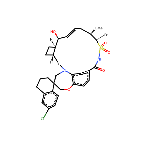 CO[C@@H]1C/C=C/[C@H](O)[C@@H]2CC[C@H]2CN2C[C@@]3(CCCc4cc(Cl)ccc43)COc3ccc(cc32)C(=O)NS(=O)(=O)[C@H]1C(C)C